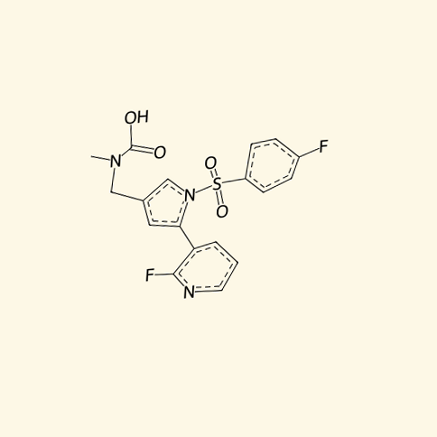 CN(Cc1cc(-c2cccnc2F)n(S(=O)(=O)c2ccc(F)cc2)c1)C(=O)O